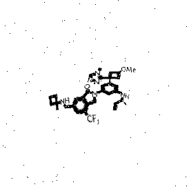 C=C[C@H](C)Nc1cc(N2Cc3c(cc(CNC4(C)CCC4)cc3C(F)(F)F)C2=O)cc([C@]2(c3nncn3C)C[C@H](OC)C2)c1